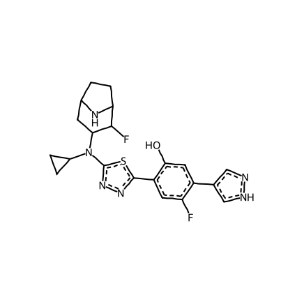 Oc1cc(-c2cn[nH]c2)c(F)cc1-c1nnc(N(C2CC2)C2CC3CCC(N3)C2F)s1